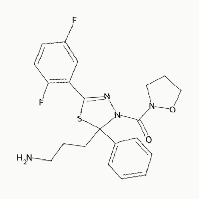 NCCCC1(c2ccccc2)SC(c2cc(F)ccc2F)=NN1C(=O)N1CCCO1